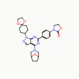 O=C1OCCN1c1ccc(-c2nc(N3CC4CCC(C3)O4)c3cnn(C4CCC5(CC4)OCCO5)c3n2)cc1